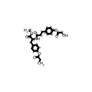 CCC(=O)Oc1ccc(CC(NC(=O)CCc2ccc(OC(=O)CO)cc2)C(=O)OC)cc1